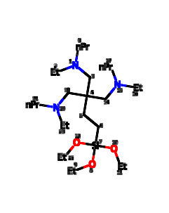 CCCN(CC)CC(CC[Si](OCC)(OCC)OCC)(CN(CC)CCC)CN(CC)CCC